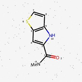 CNC(=O)c1cc2sccc2[nH]1